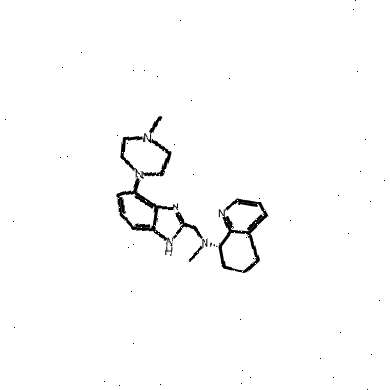 CN1CCN(c2cccc3[nH]c(CN(C)[C@H]4CCCc5cccnc54)nc23)CC1